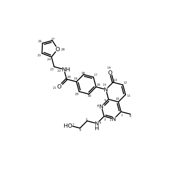 Cc1nc(NCCO)nc2c1ccc(=O)n2-c1ccc(C(=O)NCc2ccco2)cc1